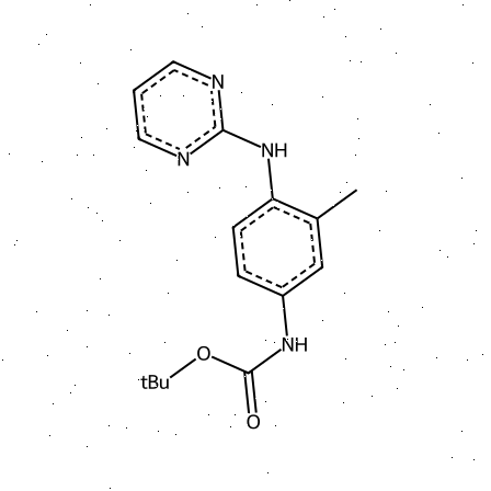 Cc1cc(NC(=O)OC(C)(C)C)ccc1Nc1ncccn1